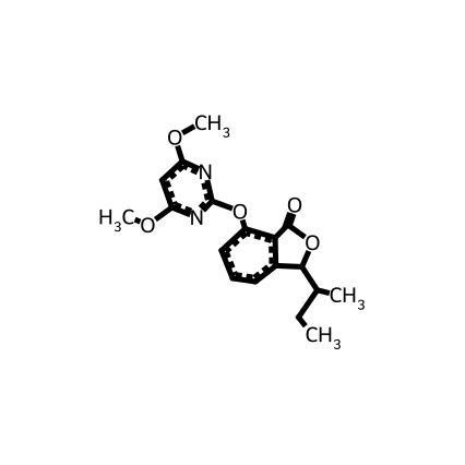 CCC(C)C1OC(=O)c2c(Oc3nc(OC)cc(OC)n3)cccc21